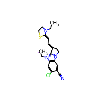 CCN1CCSC1=CC=C1CCn2c1[n+](CC)c1cc(Cl)c(C#N)cc12.[I-]